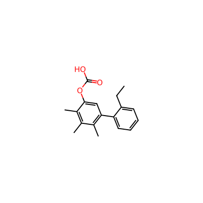 CCc1ccccc1-c1cc(OC(=O)O)c(C)c(C)c1C